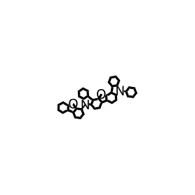 c1ccc(-n2c3ccccc3c3c4oc5c(ccc6c5c5ccccc5n6-c5cccc6c5oc5ccccc56)c4ccc32)cc1